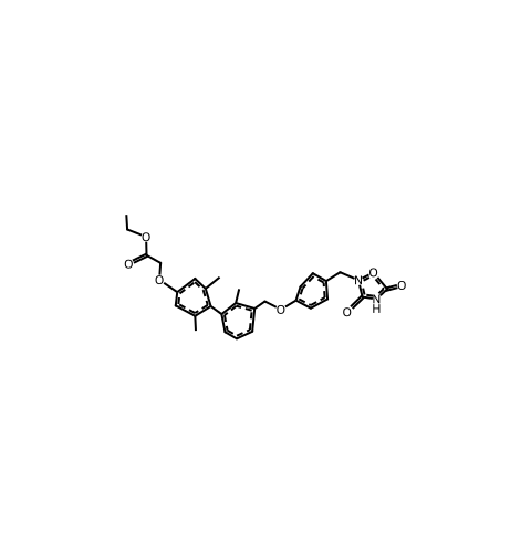 CCOC(=O)COc1cc(C)c(-c2cccc(COc3ccc(Cn4oc(=O)[nH]c4=O)cc3)c2C)c(C)c1